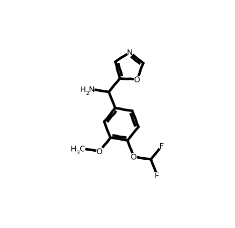 COc1cc(C(N)c2cnco2)ccc1OC(F)F